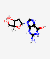 [2H][C@]1(CO)O[C@@H](n2cnc3c(=O)[nH]c(N)nc32)C[C@@H]1O